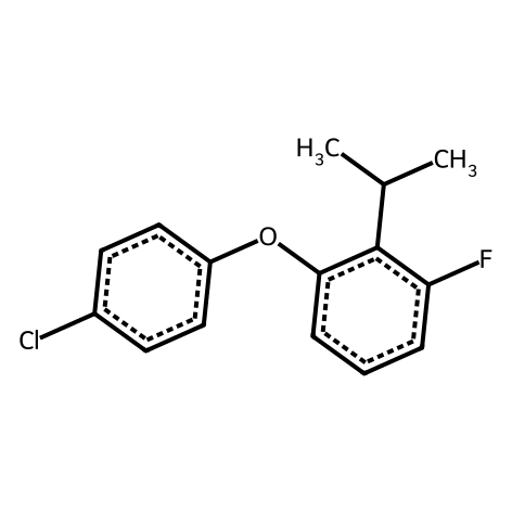 CC(C)c1c(F)cccc1Oc1ccc(Cl)cc1